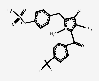 Cc1c(Cl)c(Cc2ccc(NS(C)(=O)=O)cc2)n(C)c1C(=O)c1ccc(C(F)(F)F)cc1